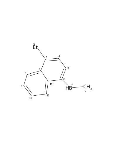 CBc1ccc(CC)c2ccccc12